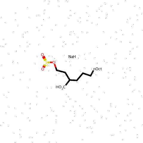 CCCCCCCCCCCC(CCO[SH](=O)=O)C(=O)O.[NaH]